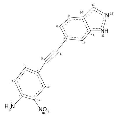 Nc1ccc(C#Cc2ccc3cn[nH]c3c2)cc1[N+](=O)[O-]